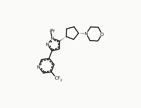 CC(C)n1nc(-c2cncc(C(F)(F)F)c2)cc1[C@@H]1CC[C@H](N2CCOCC2)C1